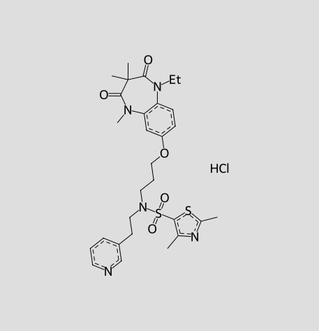 CCN1C(=O)C(C)(C)C(=O)N(C)c2cc(OCCCN(CCc3cccnc3)S(=O)(=O)c3sc(C)nc3C)ccc21.Cl